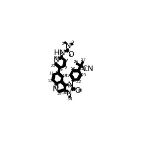 CN(C)C(=O)Nc1ccc(-c2ccc3ncc4c(c3c2)n(-c2ccc(C(C)(C)C#N)cc2)c(=O)n4C)cn1